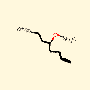 C=CCCC(CCCCCCCCC)OS(=O)(=O)O